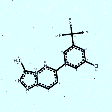 Cc1nnc2ccc(-c3cc(Cl)cc(C(F)(F)F)c3)nn12